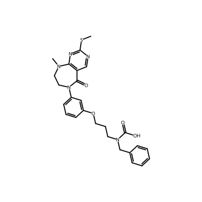 CSc1ncc2c(n1)N(C)CCN(c1cccc(OCCCN(Cc3ccccc3)C(=O)O)c1)C2=O